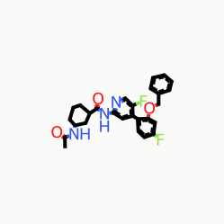 CC(=O)NC1CCCC(C(=O)Nc2cc(-c3ccc(F)cc3OCc3ccccc3)c(F)cn2)C1